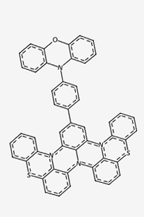 c1ccc2c(c1)Oc1ccccc1N2c1ccc(-c2cc3c4c(c2)n2c5ccccc5sc5cccc(c52)n-4c2cccc4sc5ccccc5n3c42)cc1